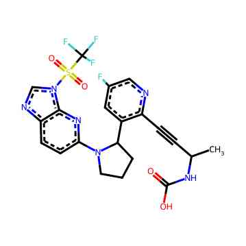 CC(C#Cc1ncc(F)cc1C1CCCN1c1ccc2ncn(S(=O)(=O)C(F)(F)F)c2n1)NC(=O)O